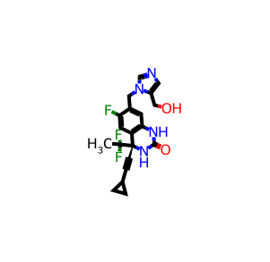 CC(F)(F)[C@@]1(C#CC2CC2)NC(=O)Nc2cc(Cn3cncc3CO)c(F)cc21